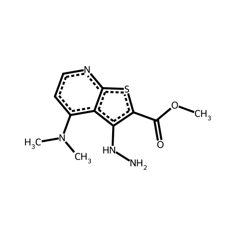 COC(=O)c1sc2nccc(N(C)C)c2c1NN